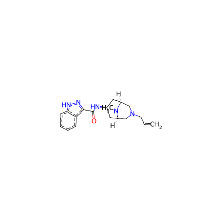 C=CCN1C[C@H]2C[C@@H](NC(=O)c3n[nH]c4ccccc34)C[C@@H](C1)N2C